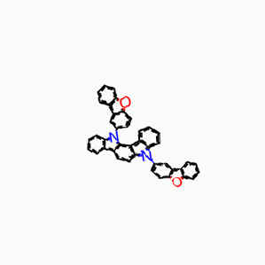 c1ccc2c(c1)oc1ccc(-n3c4ccccc4c4c3ccc3c5ccccc5n(-c5ccc6oc7ccccc7c6c5)c34)cc12